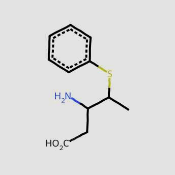 CC(Sc1ccccc1)C(N)CC(=O)O